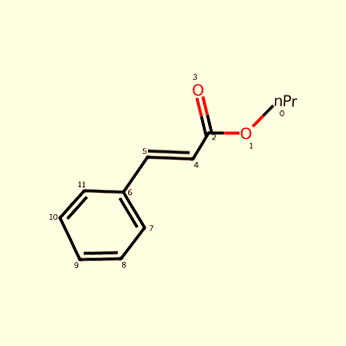 [CH2]CCOC(=O)/C=C/c1ccccc1